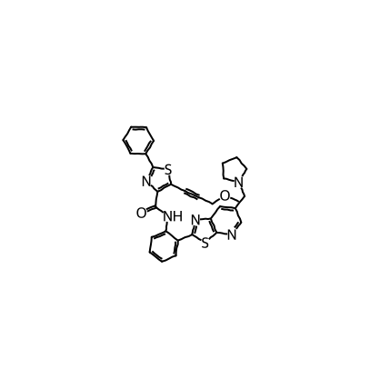 COCC#Cc1sc(-c2ccccc2)nc1C(=O)Nc1ccccc1-c1nc2cc(CN3CCCC3)cnc2s1